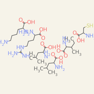 CC(C)CC(N)C(=O)O.CC(C)CC(N)C(=O)O.CCC(C)C(N)C(=O)O.N=C(N)NCCCC(N)C(=O)O.NC(CS)C(=O)O.NCCCCC(N)C(=O)O